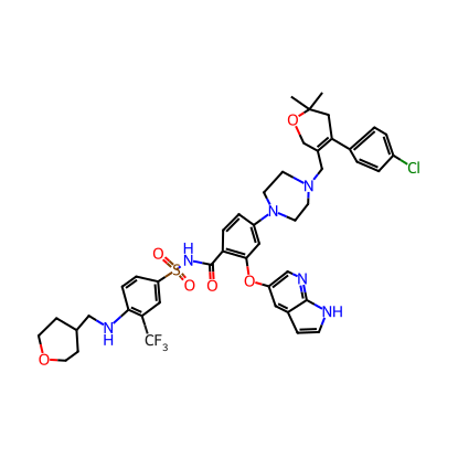 CC1(C)CC(c2ccc(Cl)cc2)=C(CN2CCN(c3ccc(C(=O)NS(=O)(=O)c4ccc(NCC5CCOCC5)c(C(F)(F)F)c4)c(Oc4cnc5[nH]ccc5c4)c3)CC2)CO1